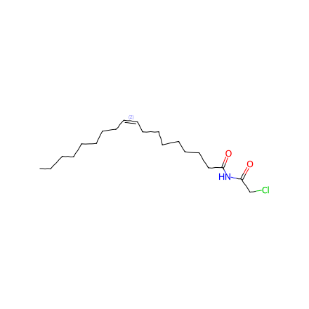 CCCCCCCC/C=C\CCCCCCCC(=O)NC(=O)CCl